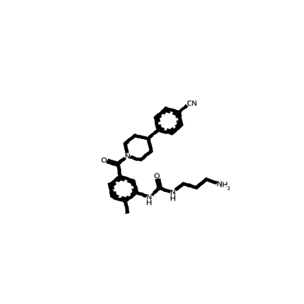 Cc1ccc(C(=O)N2CCC(c3ccc(C#N)cc3)CC2)cc1NC(=O)NCCCN